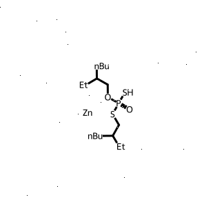 CCCCC(CC)COP(=O)(S)SCC(CC)CCCC.[Zn]